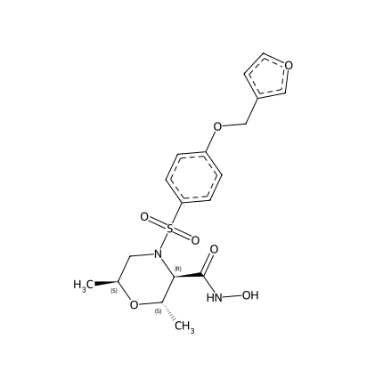 C[C@@H]1O[C@@H](C)CN(S(=O)(=O)c2ccc(OCc3ccoc3)cc2)[C@H]1C(=O)NO